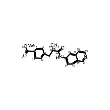 COC(=O)c1ccc(C[C@H](C)C(=O)Nc2ccc3cnccc3c2)cc1